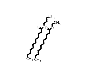 CCCCCCCCCCCC(=O)OCC.CCCCCCCCCCCC(=O)OCCCC